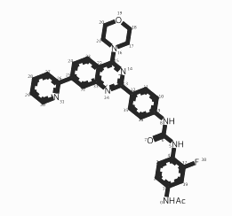 CC(=O)Nc1ccc(NC(=O)Nc2ccc(-c3nc(N4CCOCC4)c4ccc(-c5ccccn5)cc4n3)cc2)c(F)c1